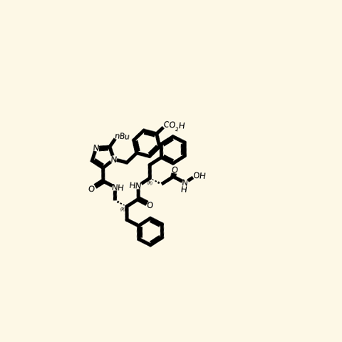 CCCCc1ncc(C(=O)NC[C@@H](Cc2ccccc2)C(=O)N[C@@H](CC(=O)NO)Cc2ccccc2)n1Cc1ccc(C(=O)O)cc1